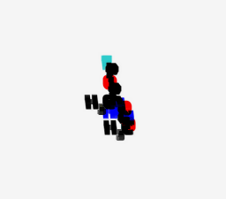 COc1ccc(NC(=O)N2CCC(=Cc3cccc(OCCc4cccc(F)c4)c3)C(C)C2)cn1